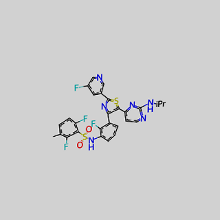 Cc1ccc(F)c(S(=O)(=O)Nc2cccc(-c3nc(-c4cncc(F)c4)sc3-c3ccnc(NC(C)C)n3)c2F)c1F